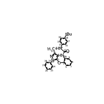 Cc1cc(Oc2ccccc2NC(=O)Nc2ccc(C(C)(C)C)cc2)n(-c2ccccc2)n1